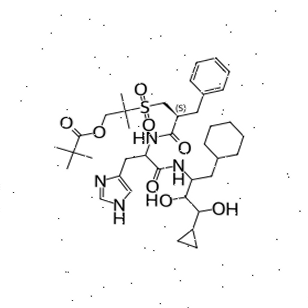 CC(C)(C)C(=O)OCC(C)(C)S(=O)(=O)C[C@@H](Cc1ccccc1)C(=O)NC(Cc1c[nH]cn1)C(=O)NC(CC1CCCCC1)C(O)C(O)C1CC1